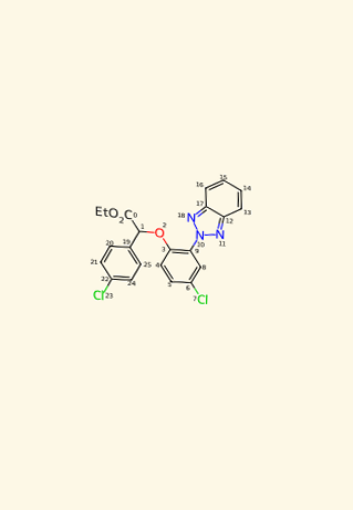 CCOC(=O)C(Oc1ccc(Cl)cc1-n1nc2ccccc2n1)c1ccc(Cl)cc1